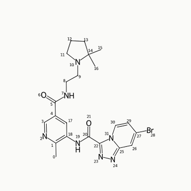 Cc1ncc(C(=O)NCCN2CCCC2(C)C)cc1NC(=O)c1nnc2cc(Br)ccn12